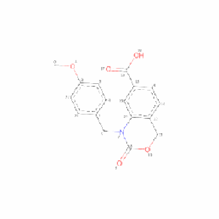 COc1ccc(CN2C(=O)OCc3ccc(C(=O)O)cc32)cc1